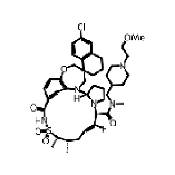 COCCN1CCC(CN(C)C(=O)[C@H]2/C(F)=C/C[C@H](C)[C@@H](C)S(=O)(=O)NC(=O)c3ccc4c(c3)N(C[C@@]3(CCCc5cc(Cl)ccc53)CO4)[C@@H]3CCCN23)CC1